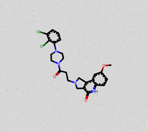 COc1ccc2[nH]c(=O)c3c(c2c1)CN(CCC(=O)N1CCN(c2cccc(Cl)c2Cl)CC1)C3